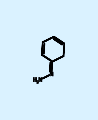 NN=C1C=CC=CC1